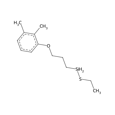 CCS[SiH2]CCCOc1cccc(C)c1C